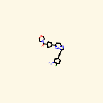 Nc1cc(C#Cc2cnc3ccc(-c4ccc(C(=O)N5CCOCC5)cc4)nn23)ccc1F